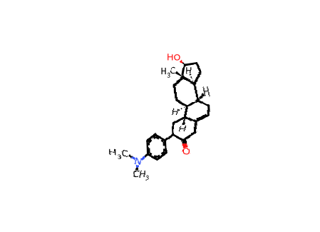 CN(C)c1ccc(C2C[C@H]3C(=CC[C@@H]4[C@@H]3CC[C@]3(C)[C@@H](O)CC[C@@H]43)CC2=O)cc1